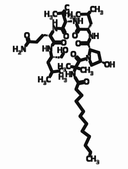 CCCCCCCCCCCC(=O)NC(C)(C)C(=O)N1C[C@@H](O)C[C@H]1C(=O)N[C@@H](CC(C)C)C(=O)N[C@H](C(=O)N[C@@H](CCC(N)=O)C(=O)N[C@H](CO)CC(C)C)C(C)C